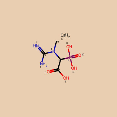 CN(C(=N)N)C(C(=O)O)P(=O)(O)O.[CaH2]